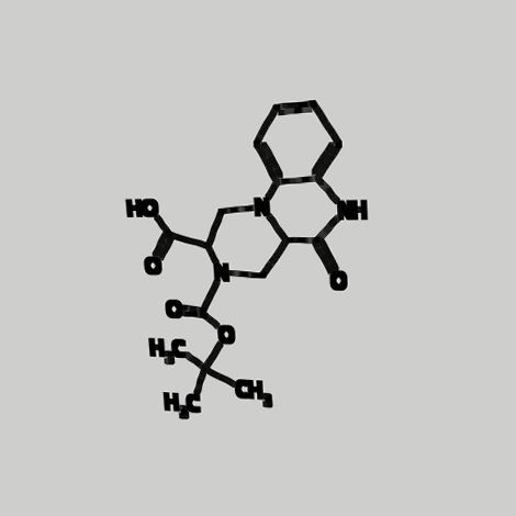 CC(C)(C)OC(=O)N1CC2C(=O)Nc3ccccc3N2CC1C(=O)O